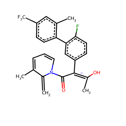 C=C1C(C)=CC=CN1C(=O)/C(=C(\C)O)c1ccc(F)c(-c2ccc(C(F)(F)F)cc2C)c1